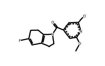 COc1cc(C(=O)N2CCC3=C2CCC(F)=C3)cc(Cl)n1